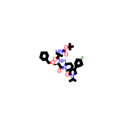 CC(C)N1CC(c2ccc(F)cc2)C2(CCCN(C(=O)[C@@H](COCc3ccccc3)NC(=O)C(C)(C)NC(=O)OC(C)(C)C)C2)C1=O